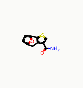 NC(=O)c1csc2c1Cc1ccc-2o1